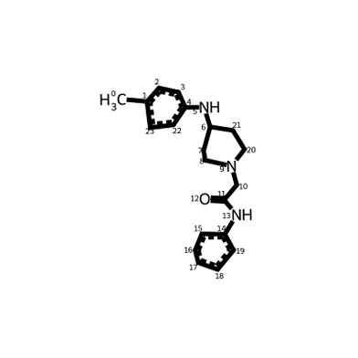 Cc1ccc(NC2CCN(CC(=O)Nc3ccccc3)CC2)cc1